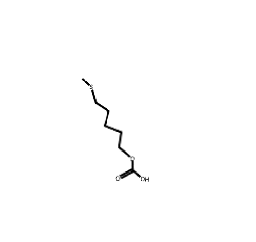 CSCCCCCOC(=O)O